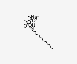 CCC(=O)O.CCC(=O)[O-].CCCCCCCCCCCCN(C)C.[Na+]